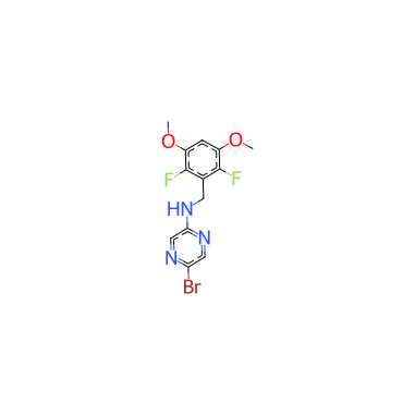 COc1cc(OC)c(F)c(CNc2cnc(Br)cn2)c1F